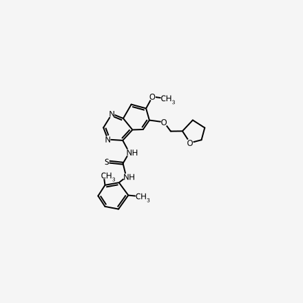 COc1cc2ncnc(NC(=S)Nc3c(C)cccc3C)c2cc1OCC1CCCO1